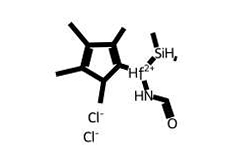 CC1=C(C)C(C)[C]([Hf+2]([NH]C=O)[SiH](C)C)=C1C.[Cl-].[Cl-]